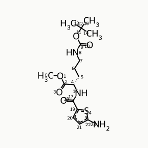 COC(=O)[C@H](CCCNC(=O)OC(C)(C)C)NC(=O)c1ccc(N)s1